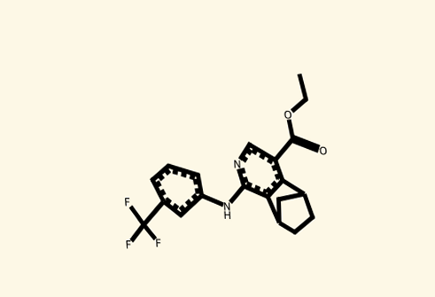 CCOC(=O)c1cnc(Nc2cccc(C(F)(F)F)c2)c2c1C1CCC2C1